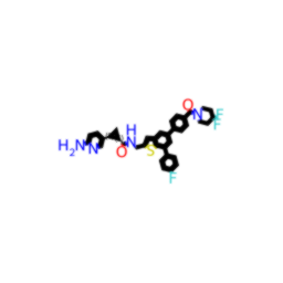 Nc1ccc([C@H]2C[C@@H]2C(=O)NCc2cc3cc(-c4ccc(C(=O)N5CCC(F)(F)CC5)cc4)cc(-c4ccc(F)cc4)c3s2)cn1